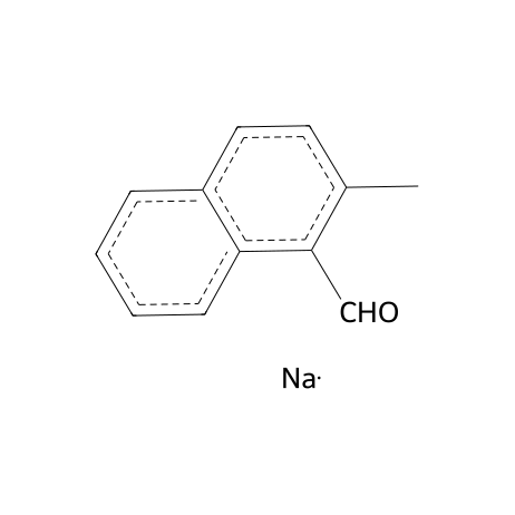 Cc1ccc2ccccc2c1C=O.[Na]